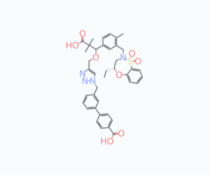 CC[C@@H]1CN(Cc2cc(C(OCc3cn(Cc4cccc(-c5ccc(C(=O)O)cc5)c4)nn3)C(C)(C)C(=O)O)ccc2C)S(=O)(=O)c2ccccc2O1